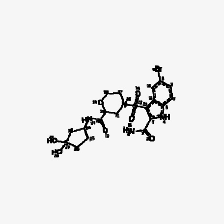 NC(=O)c1[nH]c2ccc(Br)cc2c1S(=O)(=O)N1CCOC(C(=O)NC2CCS(O)(O)C2)C1